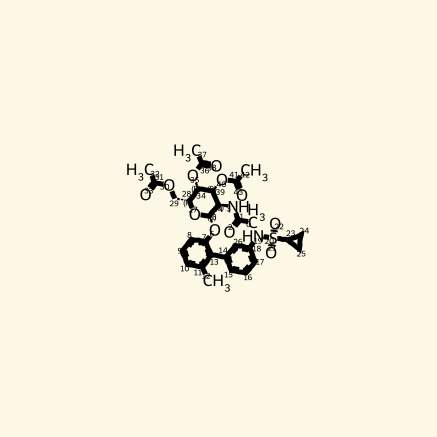 CC(=O)N[C@H]1[C@H](Oc2cccc(C)c2-c2cccc(NS(=O)(=O)C3CC3)c2)O[C@H](COC(C)=O)[C@H](OC(C)=O)[C@@H]1OC(C)=O